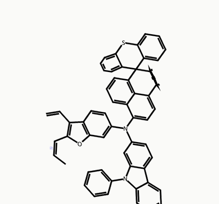 C=Cc1c(/C=C\C)oc2cc(N(c3ccc4c5ccccc5n(-c5ccccc5)c4c3)c3ccc4c5c(cccc35)C3(c5ccccc5Sc5ccccc53)c3ccccc3-4)ccc12